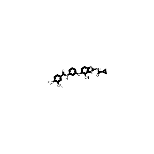 N#Cc1c(Oc2cccc(NC(=O)c3ccc(C(F)(F)F)c(C(F)(F)F)c3)c2)ccc2nc(NC(=O)C3CC3)sc12